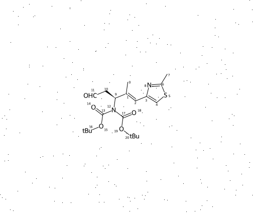 C/C(=C\c1csc(C)n1)[C@H](CC=O)N(C(=O)OC(C)(C)C)C(=O)OC(C)(C)C